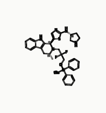 C[C@@H]1Cc2c([nH]c3ccccc23)[C@@H](c2cnc(N[C@@H]3CCNC3)s2)N1CC(F)(F)CO[Si](c1ccccc1)(c1ccccc1)C(C)(C)C